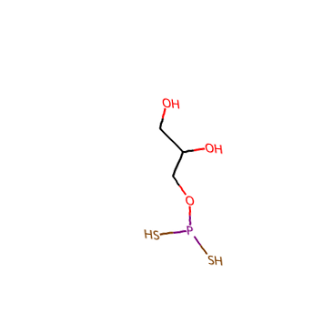 OCC(O)COP(S)S